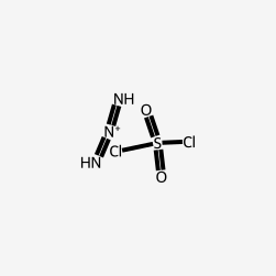 N=[N+]=N.O=S(=O)(Cl)Cl